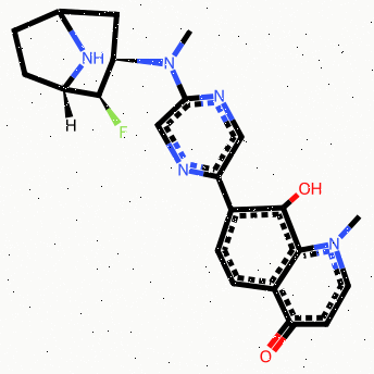 CN(c1cnc(-c2ccc3c(=O)ccn(C)c3c2O)cn1)[C@@H]1CC2CC[C@H](N2)[C@@H]1F